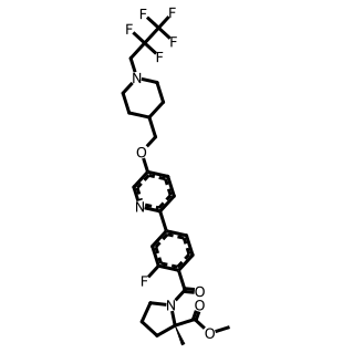 COC(=O)[C@]1(C)CCCN1C(=O)c1ccc(-c2ccc(OCC3CCN(CC(F)(F)C(F)(F)F)CC3)cn2)cc1F